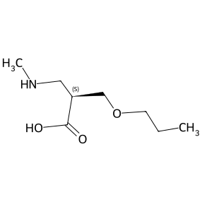 CCCOC[C@H](CNC)C(=O)O